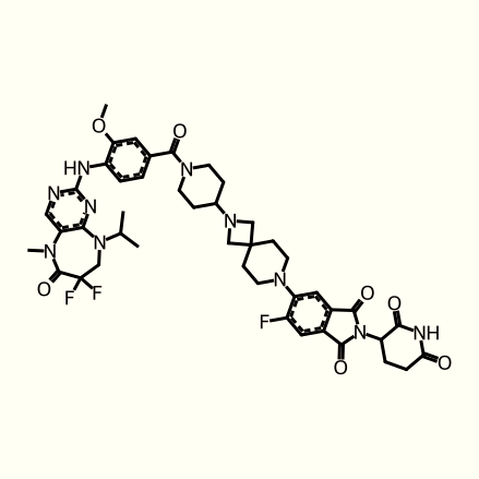 COc1cc(C(=O)N2CCC(N3CC4(CCN(c5cc6c(cc5F)C(=O)N(C5CCC(=O)NC5=O)C6=O)CC4)C3)CC2)ccc1Nc1ncc2c(n1)N(C(C)C)CC(F)(F)C(=O)N2C